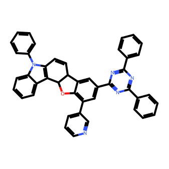 C1=CC2c3cc(-c4nc(-c5ccccc5)nc(-c5ccccc5)n4)cc(-c4cccnc4)c3OC2c2c1n(-c1ccccc1)c1ccccc21